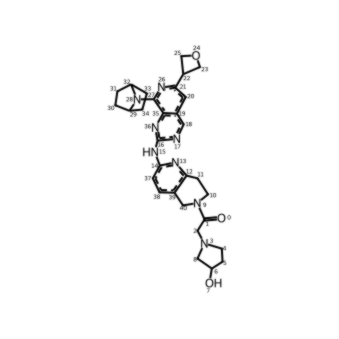 O=C(CN1CCC(O)C1)N1CCc2nc(Nc3ncc4cc(C5COC5)nc(N5C6CCC5CC6)c4n3)ccc2C1